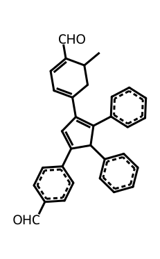 CC1CC(C2=C(c3ccccc3)C(c3ccccc3)C(c3ccc(C=O)cc3)=C2)=CC=C1C=O